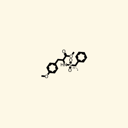 COC(=O)C(Cc1ccc(OC)cc1)NS(=O)(=O)[C@@H](C)c1ccccc1